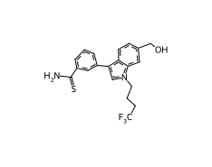 NC(=S)c1cccc(-c2cn(CCCC(F)(F)F)c3cc(CO)ccc23)c1